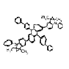 CC12CC1(C)N(c1ccccc1)c1ccc(-c3ccc4c(-c5ccc(-c6ccccc6)cc5)c5cc(-c6ccc7c(c6)C6(C)CC6(C)N7c6ccccc6)ccc5c(-c5ccc(-c6ccccc6)cc5)c4c3)cc12